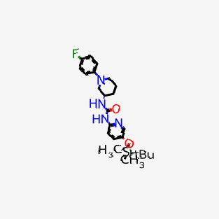 CC(C)(C)[Si](C)(C)Oc1ccc(NC(=O)N[C@H]2CCCN(c3ccc(F)cc3)C2)nc1